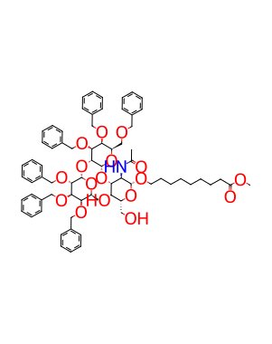 COC(=O)CCCCCCCCO[C@@H]1O[C@H](CO)[C@@H](O)[C@H](O[C@H]2O[C@H](COCc3ccccc3)[C@H](OCc3ccccc3)[C@H](OCc3ccccc3)[C@H]2O[C@@H]2O[C@@H](C)[C@@H](OCc3ccccc3)[C@@H](OCc3ccccc3)[C@@H]2OCc2ccccc2)[C@H]1NC(C)=O